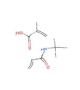 C=C(C)C(=O)O.C=CC(=O)NC(C)(C)C